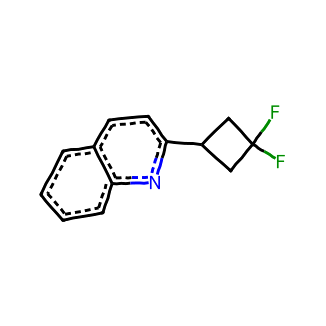 FC1(F)CC(c2ccc3ccccc3n2)C1